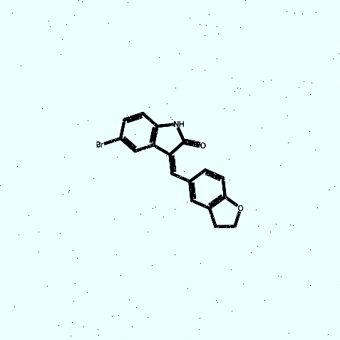 O=C1Nc2ccc(Br)cc2C1=Cc1ccc2c(c1)CCO2